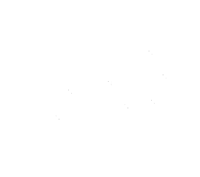 Cc1cccnc1-n1c(CNc2ncnc(N)c2C(N)=O)cc2cccc(C)c2c1=O